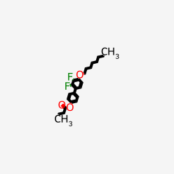 CCCCCCCCOc1ccc(-c2ccc(OC(=O)CCC)cc2)c(F)c1F